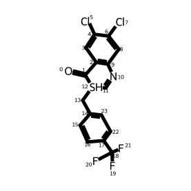 O=C1c2cc(Cl)c(Cl)cc2N=C[SH]1Cc1ccc(C(F)(F)F)cc1